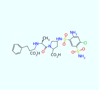 C[C@H](N[C@@H](CCc1ccccc1)C(=O)O)C(=O)N1CC(NS(=O)(=O)c2cc(S(N)(=O)=O)c(Cl)cc2N)CC1C(=O)O